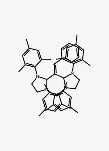 Cc1cc(C)c(N2CCN(c3c(C)cc(C)cc3C)C2C(=Cc2ccccc2)C2N(c3c(C)cc(C)cc3C)CCN2c2c(C)cc(C)cc2C)c(C)c1